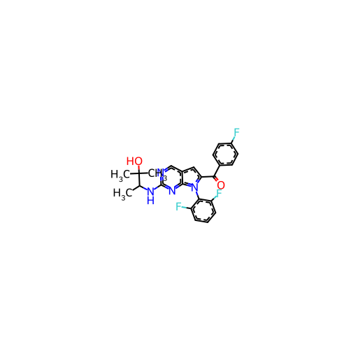 CC(Nc1ncc2cc(C(=O)c3ccc(F)cc3)n(-c3c(F)cccc3F)c2n1)C(C)(C)O